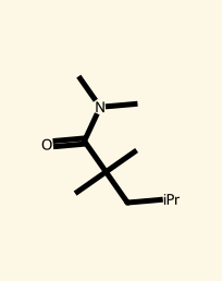 CC(C)CC(C)(C)C(=O)N(C)C